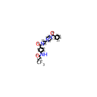 O=C(CCC(F)(F)F)Nc1ccc(C(=O)N2CC(N3CCN(C(=O)c4ccccc4)CC3)C2)cc1